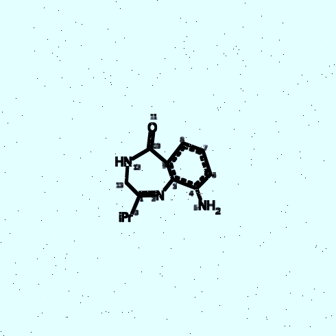 CC(C)C1=Nc2c(N)cccc2C(=O)NC1